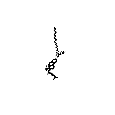 CCCCCCCCCCCCCCCCOC(CO)CO[C@H]1CC[C@@]2(C)C(=CC[C@H]3[C@@H]4CC[C@H]([C@H](C)CCCC(C)C)[C@@]4(C)CC[C@@H]32)C1